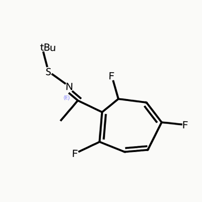 C/C(=N\SC(C)(C)C)C1=C(F)C=CC(F)=CC1F